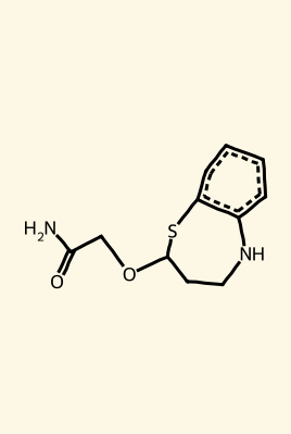 NC(=O)COC1CCNc2ccccc2S1